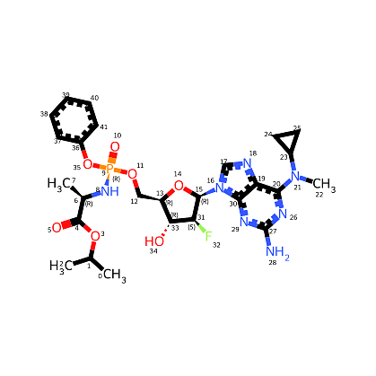 CC(C)OC(=O)[C@@H](C)N[P@@](=O)(OC[C@H]1O[C@@H](n2cnc3c(N(C)C4CC4)nc(N)nc32)[C@@H](F)[C@@H]1O)Oc1ccccc1